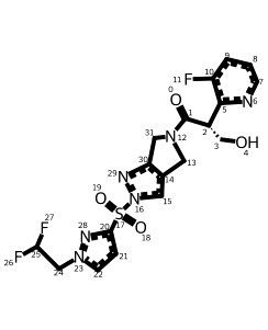 O=C([C@@H](CO)c1ncccc1F)N1Cc2cn(S(=O)(=O)c3ccn(CC(F)F)n3)nc2C1